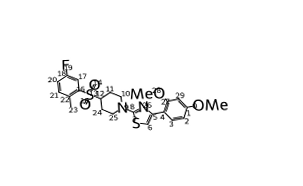 COc1ccc(-c2csc(N3CCC(S(=O)(=O)c4cc(F)ccc4C)CC3)n2)c(OC)c1